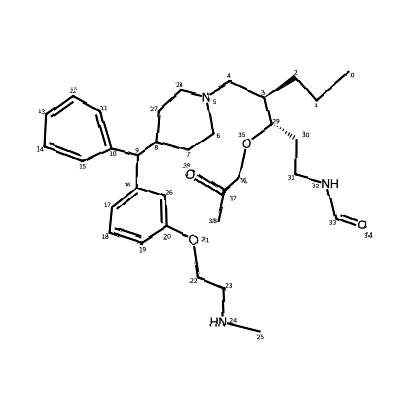 CCC[C@H](CN1CCC(C(c2ccccc2)c2cccc(OCCNC)c2)CC1)[C@H](CCNC=O)OCC(C)=O